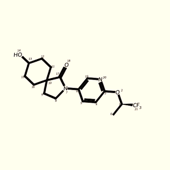 C[C@@H](Oc1ccc(N2CCC3(CCC(O)CC3)C2=O)cn1)C(F)(F)F